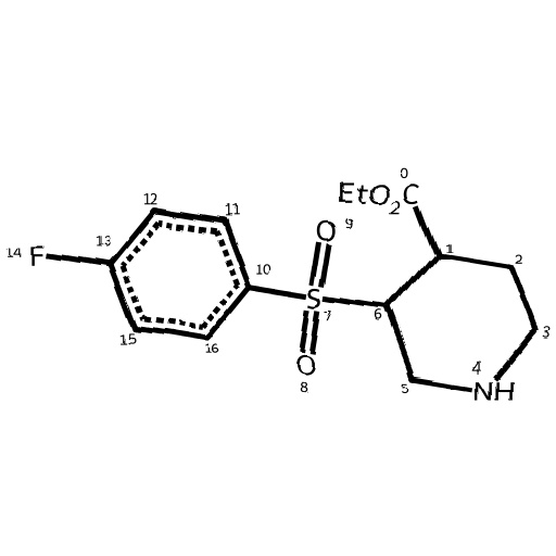 CCOC(=O)C1CCNCC1S(=O)(=O)c1ccc(F)cc1